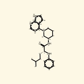 CC(C)CC[C@@H](Nc1ccccc1)C(=O)N[C@@H]1CCCN(c2ncnc3[nH]ccc23)C1